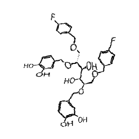 Oc1ccc(CO[C@H](COCc2ccc(F)cc2)[C@@H](O)[C@H](O)[C@@H](COCc2ccc(F)cc2)OCc2ccc(O)c(O)c2)cc1O